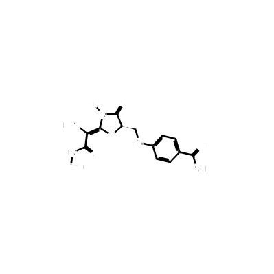 CCCCNC(=O)/C(N)=C1\S[C@H](CNc2ccc(C(N)=O)cc2)C(=O)N1CC